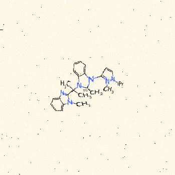 CC(C)n1ccc(N2c3ccccc3N(C(C)(C)c3nc4ccccc4n3C)[C@@H]2C)[n+]1C